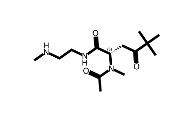 CNCCNC(=O)[C@H](CC(=O)C(C)(C)C)N(C)C(C)=O